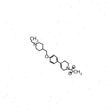 CCN1CCC(COc2ccc(C3=CCN(S(C)(=O)=O)CC3)cc2)CC1